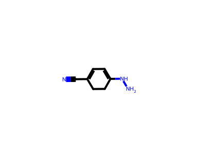 N#CC1=CC=C(NN)CC1